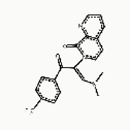 CN(C)/C=C(/C(=O)c1ccc(C(F)(F)F)cc1)n1ccc2cccnc2c1=O